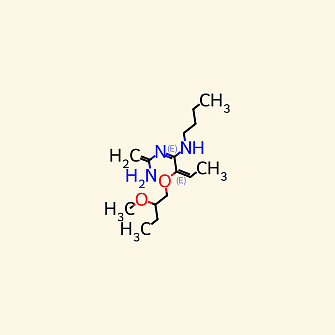 C=C(N)/N=C(NCCCC)\C(=C/C)OCC(CC)OC